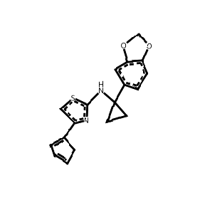 C1=CCC(c2csc(NC3(c4ccc5c(c4)OCO5)CC3)n2)=C1